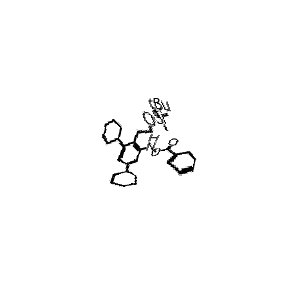 CC(C)(C)[Si](C)(C)OCCc1c(NOC(=O)c2ccccc2)cc(C2CCCCC2)cc1C1CCCCC1